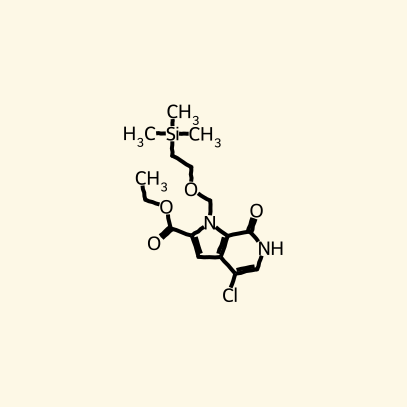 CCOC(=O)c1cc2c(Cl)c[nH]c(=O)c2n1COCC[Si](C)(C)C